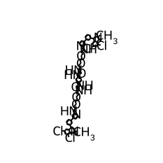 CN1Cc2c(Cl)cc(Cl)cc2C(c2cccc(-c3ccnc(NCCOCCOCCNC(=O)Nc4ccc(NC(=O)NCCOCCOCCNc5cc(-c6cccc(C7CN(C)Cc8c(Cl)cc(Cl)cc87)c6)ccn5)cc4)c3)c2)C1